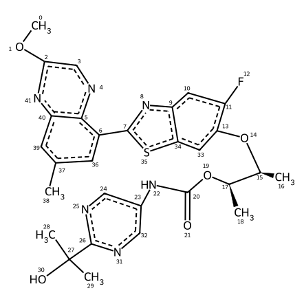 COc1cnc2c(-c3nc4cc(F)c(O[C@@H](C)[C@@H](C)OC(=O)Nc5cnc(C(C)(C)O)nc5)cc4s3)cc(C)cc2n1